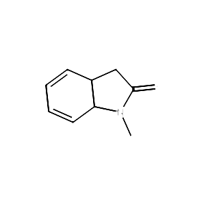 CN1C(=O)CC2C=[C]C=CC21